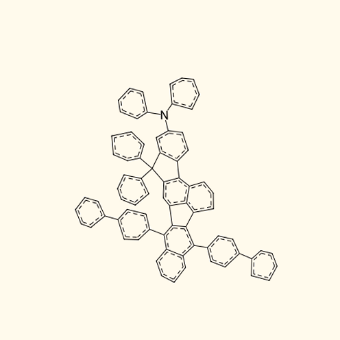 c1ccc(-c2ccc(-c3c4c(c(-c5ccc(-c6ccccc6)cc5)c5ccccc35)-c3cc5c(c6cccc-4c36)-c3ccc(N(c4ccccc4)c4ccccc4)cc3C5(c3ccccc3)c3ccccc3)cc2)cc1